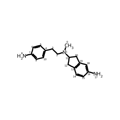 CN(CCc1ccc(N)cc1)C1Cc2ccc(N)cc2C1